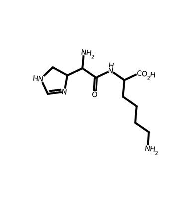 NCCCCC(NC(=O)C(N)C1CNC=N1)C(=O)O